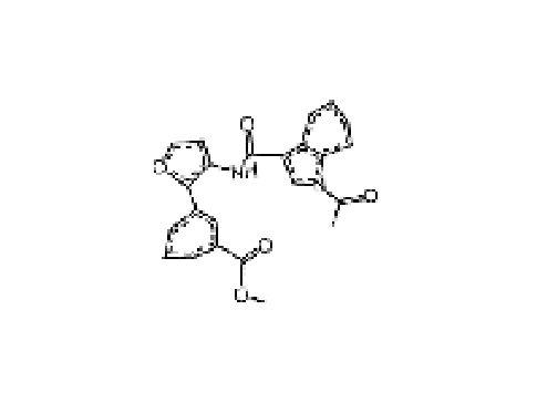 COC(=O)c1cccc(-c2occc2NC(=O)c2cn(C(C)=O)c3ccccc23)c1